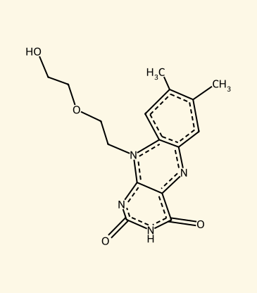 Cc1cc2nc3c(=O)[nH]c(=O)nc-3n(CCOCCO)c2cc1C